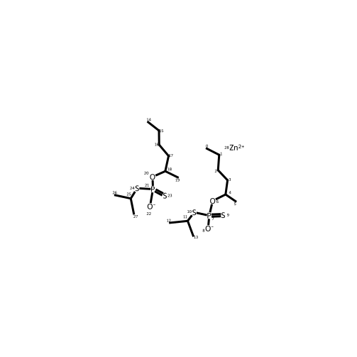 CCCCC(C)OP([O-])(=S)SC(C)C.CCCCC(C)OP([O-])(=S)SC(C)C.[Zn+2]